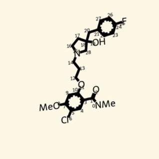 CNC(=O)c1cc(Cl)c(OC)cc1OCCCN1CCC(O)(Cc2ccc(F)cc2)C1